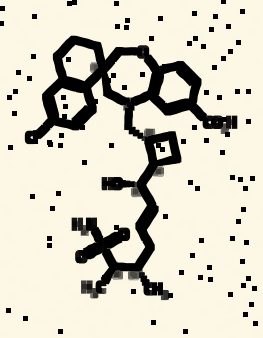 C[C@H]([C@@H](C)CC=C[C@H](O)[C@@H]1CC[C@H]1CN1C[C@@]2(CCCc3cc(Cl)ccc32)COc2ccc(C(=O)O)cc21)S(N)(=O)=O